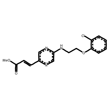 COC(=O)/C=C/c1cnc(NCCOc2ccccc2Cl)cn1